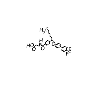 CCCCCCC(COc1ccc(-c2ccc(C(F)(F)F)cc2)cc1)c1ccc(C(=O)NCCC(=O)O)cc1